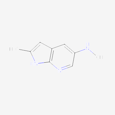 CNc1cnc2[nH]c(C)cc2c1